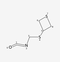 O=C=NCSC1CSC1